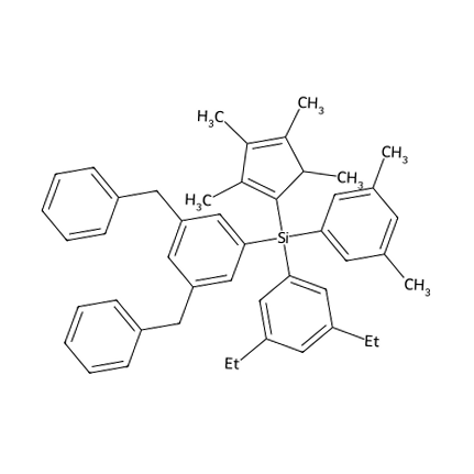 CCc1cc(CC)cc([Si](C2=C(C)C(C)=C(C)C2C)(c2cc(C)cc(C)c2)c2cc(Cc3ccccc3)cc(Cc3ccccc3)c2)c1